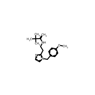 C=C(NCCc1nccn1Cc1ccc(OC)cc1)C(C)(C)C